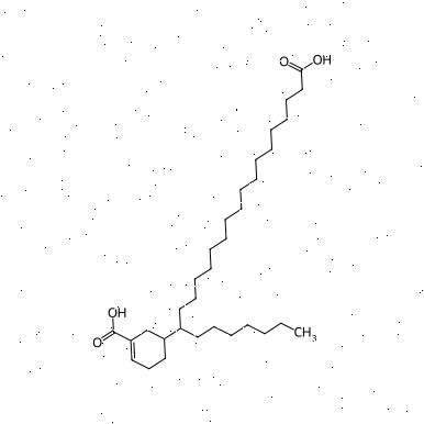 CCCCCCCC(CCCCCCCCCCCCCCCCC(=O)O)C1CCC=C(C(=O)O)C1